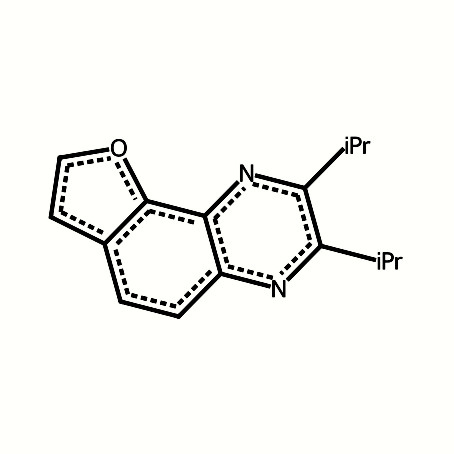 CC(C)c1nc2ccc3ccoc3c2nc1C(C)C